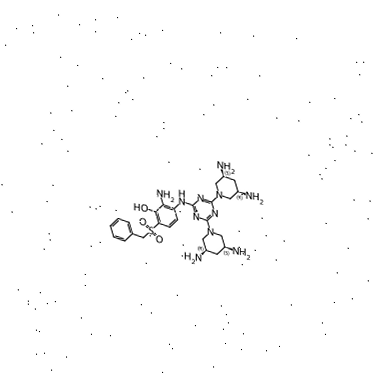 Nc1c(Nc2nc(N3C[C@H](N)C[C@H](N)C3)nc(N3C[C@H](N)C[C@H](N)C3)n2)ccc(S(=O)(=O)Cc2ccccc2)c1O